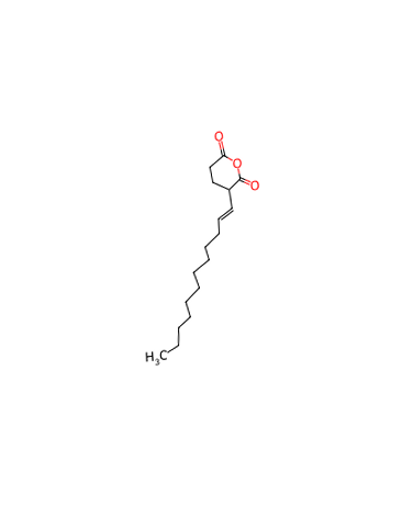 CCCCCCCCCCC=CC1CCC(=O)OC1=O